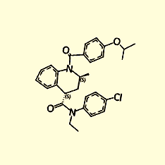 CCN(C(=O)[C@H]1C[C@H](C)N(C(=O)c2ccc(OC(C)C)cc2)c2ccccc21)c1ccc(Cl)cc1